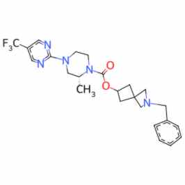 C[C@@H]1CN(c2ncc(C(F)(F)F)cn2)CCN1C(=O)OC1CC2(C1)CN(Cc1ccccc1)C2